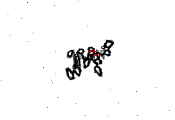 c1ccc(-c2ccc(-c3nc(-c4ccccc4)nc(-c4cccc5c4sc4ccccc45)n3)c(-n3c4ccccc4c4c(-c5cccc6c5c5ccc(-c7ccccc7)cc5n6-c5ccccc5)cccc43)c2)cc1